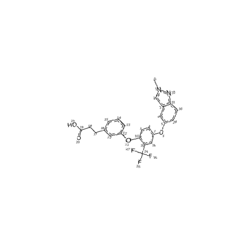 Cn1cc2cc(Oc3ccc(Oc4cccc(CCC(=O)O)c4)c(C(F)(F)F)c3)ccc2n1